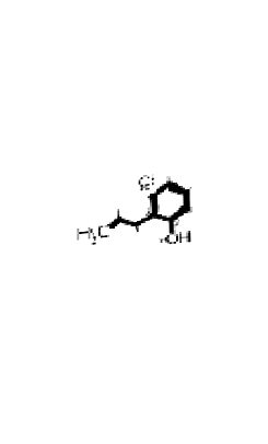 C=CCc1ccccc1O.[C]